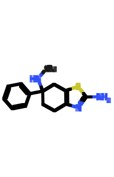 CC(C)(C)NC1(c2ccccc2)CCc2nc(N)sc2C1